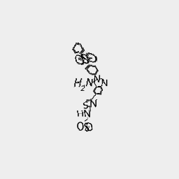 CS(=O)(=O)CCNCc1nc(-c2ccc3c(c2)C(N)N(c2ccc(S(=O)(=O)c4ccccc4)cc2)C=N3)cs1